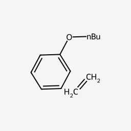 C=C.CCCCOc1ccccc1